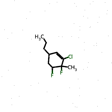 CCCC1C=C(Cl)C(C)(F)C(F)C1